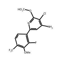 COc1c(C(F)(F)F)ccc(-c2cc(N)c(Cl)c(OC(=O)O)n2)c1F